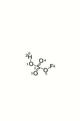 [2H]OS(=O)(=O)OF